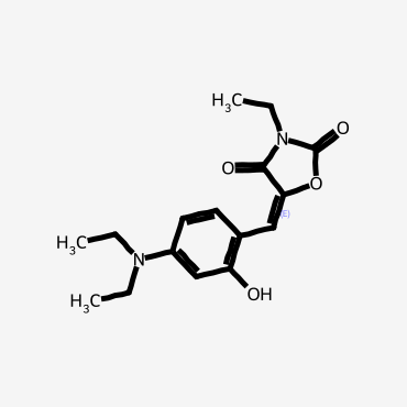 CCN1C(=O)O/C(=C/c2ccc(N(CC)CC)cc2O)C1=O